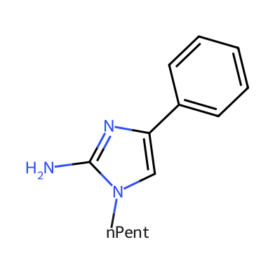 CCCCCn1cc(-c2ccccc2)nc1N